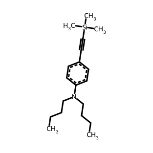 CCCCN(CCCC)c1ccc(C#C[Si](C)(C)C)cc1